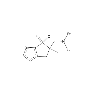 CCN(CC)CC1(C)Cc2ccsc2S1(=O)=O